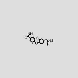 CCNCc1ccc(Oc2ccc(C(N)=O)cn2)c(F)c1